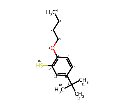 CCCCOc1ccc(C(C)(C)C)cc1S